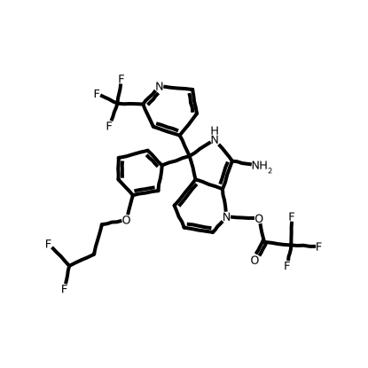 NC1=C2C(=CC=CN2OC(=O)C(F)(F)F)C(c2cccc(OCCC(F)F)c2)(c2ccnc(C(F)(F)F)c2)N1